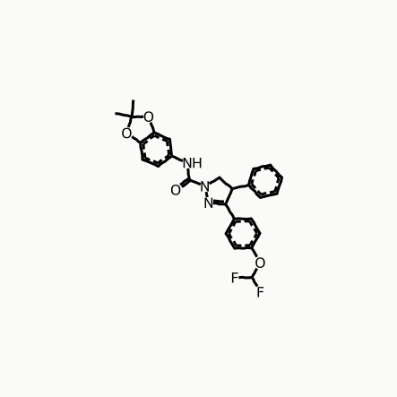 CC1(C)Oc2ccc(NC(=O)N3CC(c4ccccc4)C(c4ccc(OC(F)F)cc4)=N3)cc2O1